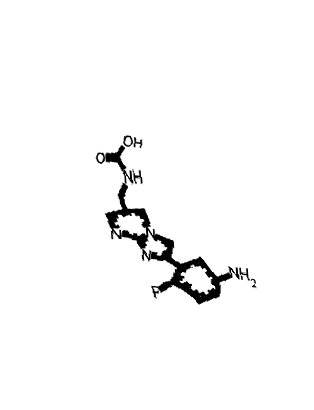 Nc1ccc(F)c(-c2cn3cc(CNC(=O)O)cnc3n2)c1